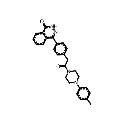 Cc1ccc(N2CCN(C(=O)Cc3ccc(-c4n[nH]c(=O)c5ccccc45)cc3)CC2)cc1